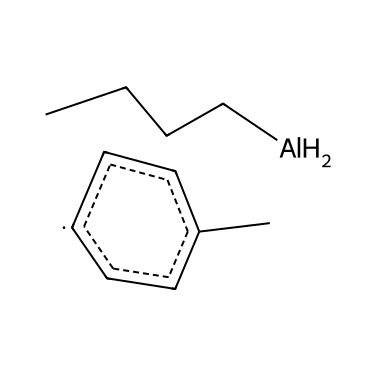 CCC[CH2][AlH2].Cc1cc[c]cc1